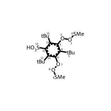 CSOOc1c(C(C)(C)C)c(OOSC)c(C(C)(C)C)c(S(=O)(=O)O)c1C(C)(C)C